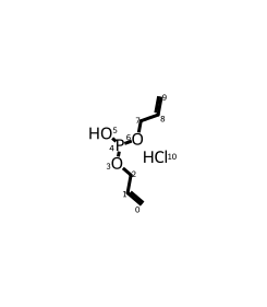 C=CCOP(O)OCC=C.Cl